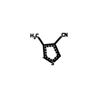 Cc1[c]scc1C#N